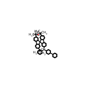 CC(C)(C)c1ccc2c(c1)C1(c3cc(N(c4ccccc4)c4ccc(-c5ccccc5)cc4)ccc3-2)c2cc(C(C)(C)C)ccc2-c2ccc(C(C)(C)C)cc21